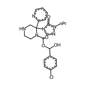 CCCn1ncn(C2(c3ccccn3)CNCCN2C(=O)OC(O)c2ccc(Cl)cc2)c1=O